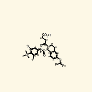 CS(C)(C)c1c(F)cc(NC(=O)[C@H]2c3ccc(OC(F)F)cc3CCN2C(=O)CCC(=O)O)cc1F